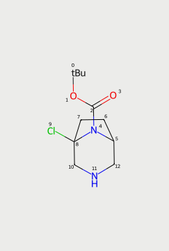 CC(C)(C)OC(=O)N1C2CCC1(Cl)CNC2